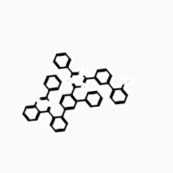 N#Cc1ccccc1-c1cccc(-c2nc(-c3ccccc3)nc(-c3ccc(-c4ccccc4-c4nc(-c5ccccc5)nc5ccccc45)cc3-c3ccccc3)n2)c1